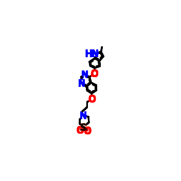 Cc1cc2cc(Oc3ncnc4cc(OCCCN5CCS(=O)(=O)CC5)ccc34)ccc2[nH]1